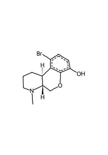 CN1CCC[C@H]2c3c(Br)ccc(O)c3OC[C@@H]21